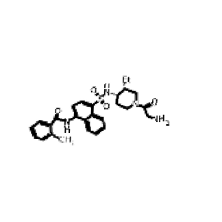 CC[C@@H]1CN(C(=O)CN)CC[C@@H]1NS(=O)(=O)c1ccc(NC(=O)c2ccccc2C)c2ccccc12